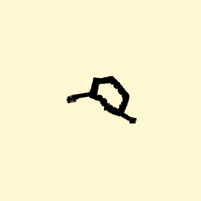 [NH]c1cccc(Br)n1